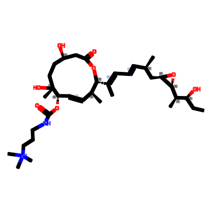 CC[C@H](O)[C@@H](C)[C@H]1O[C@@H]1C[C@H](C)/C=C/C=C(\C)[C@H]1OC(=O)C[C@H](O)CC[C@@](C)(O)[C@@H](OC(=O)NCCC[N+](C)(C)C)/C=C/[C@@H]1C